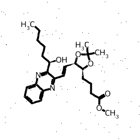 CCCCC[C@@H](O)c1nc2ccccc2nc1/C=C/[C@H]1OC(C)(C)O[C@H]1CCCC(=O)OC